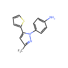 Nc1ccc(-n2nc(C(F)(F)F)cc2-c2cccs2)cc1